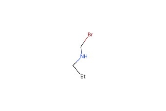 CCCNCBr